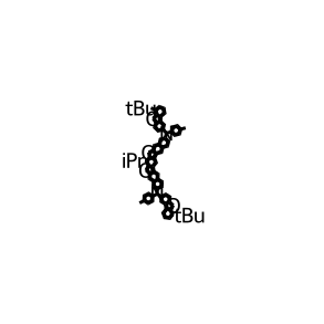 Cc1ccc(N(c2ccc3cc4c(cc3c2)oc2c(C(C)C)c3oc5cc6cc(N(c7ccc(C)cc7)c7ccc8oc9c(C(C)(C)C)cccc9c8c7)ccc6cc5c3cc24)c2ccc3oc4c(C(C)(C)C)cccc4c3c2)cc1